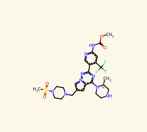 COC(=O)Nc1cc(C(F)(F)F)c(-c2nc(N3CCNC[C@@H]3C)c3cc(CN4CCN(S(C)(=O)=O)CC4)cn3n2)cn1